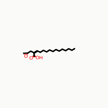 CCCCCCCCCCCC/C=C(/CC1CO1)C(=O)O